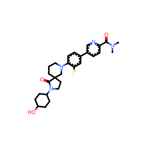 CN(C)C(=O)c1ccc(-c2ccc(N3CCCC4(CCN(C5CCC(O)CC5)C4=O)C3)c(F)c2)cn1